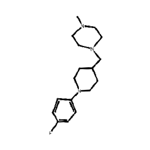 CN1CCN(CC2CCN(c3ccc(F)cc3)CC2)CC1